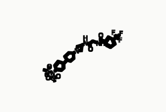 CS(=O)(=O)N(c1ccc(C2CCC(N3CC(NC(=O)CNC(=O)c4cccc(C(F)(F)F)c4)C3)CC2)cc1)S(C)(=O)=O